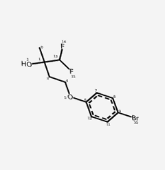 CC(O)(CCOc1ccc(Br)cc1)C(F)F